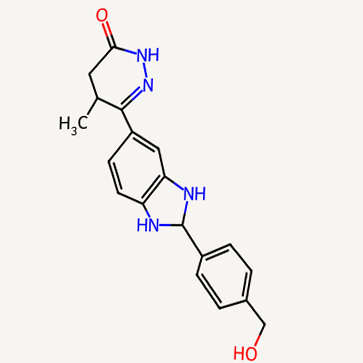 CC1CC(=O)NN=C1c1ccc2c(c1)NC(c1ccc(CO)cc1)N2